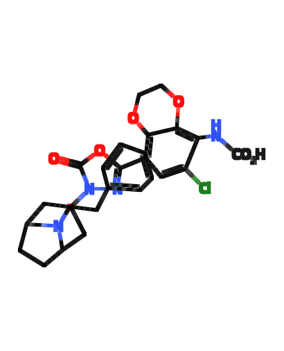 O=C(O)Nc1c(Cl)cc(-c2nn(C3CC4CCC(C3)N4CCc3ccccc3)c(=O)o2)c2c1OCCO2